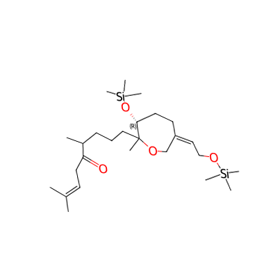 CC(C)=CCC(=O)C(C)CCCC1(C)OCC(=CCO[Si](C)(C)C)CC[C@H]1O[Si](C)(C)C